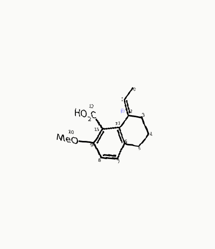 C/C=C1\CCCc2ccc(OC)c(C(=O)O)c21